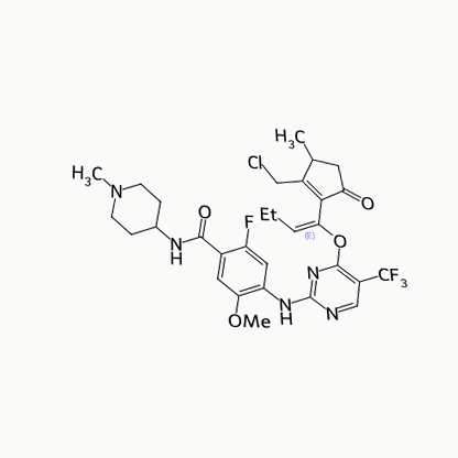 CC/C=C(/Oc1nc(Nc2cc(F)c(C(=O)NC3CCN(C)CC3)cc2OC)ncc1C(F)(F)F)C1=C(CCl)C(C)CC1=O